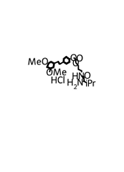 COc1cc(C=Cc2ccc(OC(=O)OCCCNC(=O)C(N)C(C)C)cc2)cc(OC)c1.Cl